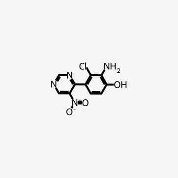 Nc1c(O)ccc(-c2ncncc2[N+](=O)[O-])c1Cl